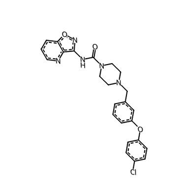 O=C(Nc1noc2cccnc12)N1CCN(Cc2cccc(Oc3ccc(Cl)cc3)c2)CC1